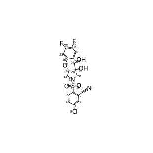 N#Cc1cc(Cl)ccc1S(=O)(=O)N1C[C@H](Oc2ccc(F)c(F)c2)[C@](O)(CO)C1